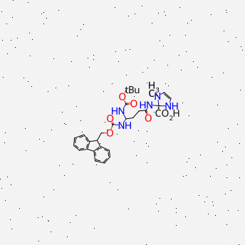 CN1C=CN[C@@]1(NC(=O)CCC(NC(=O)OCC1c2ccccc2-c2ccccc21)NC(=O)OC(C)(C)C)C(=O)O